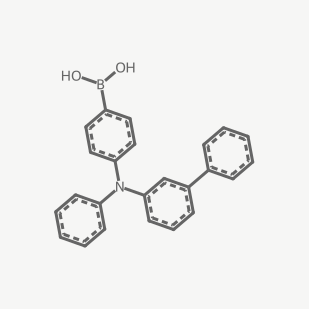 OB(O)c1ccc(N(c2ccccc2)c2cccc(-c3ccccc3)c2)cc1